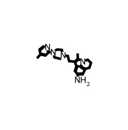 Cc1ccnc(N2CCN(CCc3c(C)n4c5c(cc(N)cc35)CCC4)CC2)c1